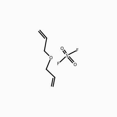 C=CCOCC=C.O=S(=O)(F)F